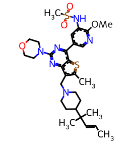 C/C=C/C(C)(C)C1CCN(Cc2c(C)sc3c(-c4cnc(OC)c(NS(C)(=O)=O)c4)nc(N4CCOCC4)nc23)CC1